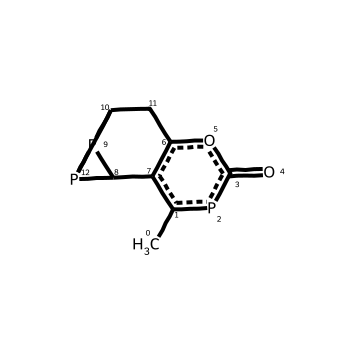 Cc1pc(=O)oc2c1C1P3C(C2)P13